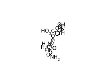 C[C@](N)(CN1CC(Oc2ccc3c(c2C(=O)O)OB(O)[C@H]2C[C@@H]32)C1)C(=O)NCC(N)=O